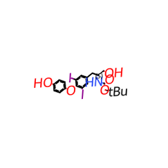 CC(C)(C)OC(=O)N[C@H](CO)Cc1cc(I)c(Oc2ccc(O)cc2)c(I)c1